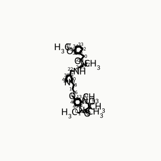 CCN1C(=O)C(C)(C)C(=O)N(C)c2cc(OCCCc3cc(CNCCN(C)C(=O)Cc4cccc(OC)c4)ccn3)ccc21